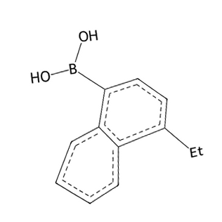 CCc1ccc(B(O)O)c2ccccc12